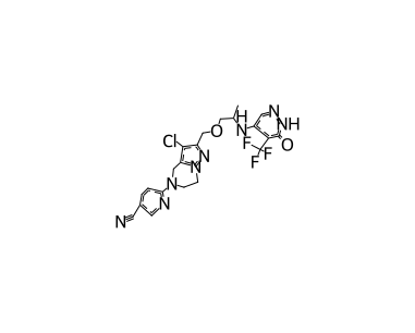 CC(COCc1nn2c(c1Cl)CN(c1ccc(C#N)cn1)CC2)Nc1cn[nH]c(=O)c1C(F)(F)F